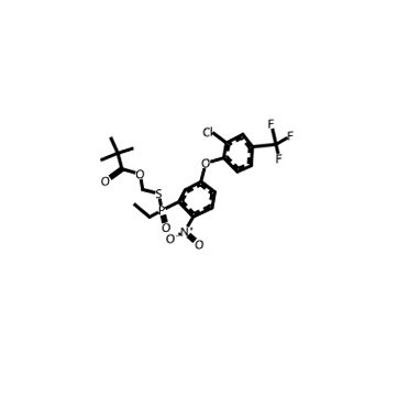 CCP(=O)(SCOC(=O)C(C)(C)C)c1cc(Oc2ccc(C(F)(F)F)cc2Cl)ccc1[N+](=O)[O-]